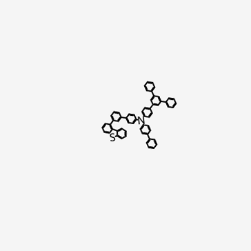 c1ccc(-c2ccc(N(c3ccc(-c4cc(-c5ccccc5)cc(-c5ccccc5)c4)cc3)c3ccc(-c4cccc(-c5cccc6sc7ccccc7c56)c4)cc3)cc2)cc1